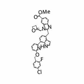 COC(=O)c1ccc2nc(Cc3ccc(-c4cccc(OCc5ccc(Cl)cc5F)n4)c4[nH]ccc34)n(C[C@@H]3CCO3)c2c1